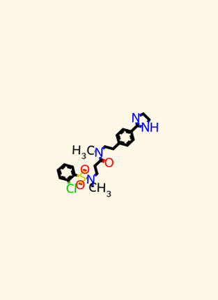 CN(CCc1ccc(C2=NCCN2)cc1)C(=O)CCN(C)S(=O)(=O)c1ccccc1Cl